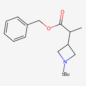 CC(C(=O)OCc1ccccc1)C1CN(C(C)(C)C)C1